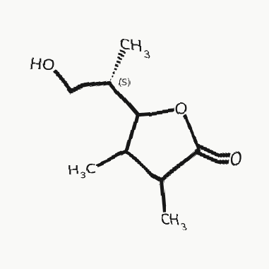 CC1C(=O)OC([C@@H](C)CO)C1C